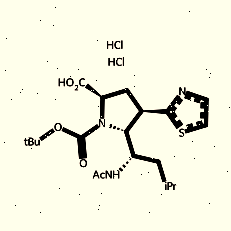 CC(=O)N[C@@H](CC(C)C)[C@H]1[C@H](c2nccs2)C[C@H](C(=O)O)N1C(=O)OC(C)(C)C.Cl.Cl